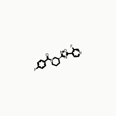 O=C(c1ccc(F)cc1)N1CCC[C@H](c2noc(-c3ccncc3F)n2)C1